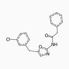 O=C(Cc1ccccc1)Nc1ncc(Cc2cccc(Cl)c2)o1